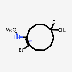 CC/C1=C(\NOC)CCCC(C)(C)CCCC1